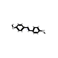 COc1c[c]c(/C=C/c2ccc(OC)cc2)cc1